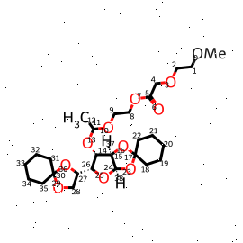 COCCOCC(=O)OCCOC(C)O[C@@H]1[C@H]2OC3(CCCCC3)O[C@H]2O[C@@H]1C1COC2(CCCCC2)O1